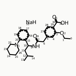 CCOc1cc(CC(=O)NC(CC(C)C)c2ccccc2N2CCCCC2)ccc1C(=O)O.[NaH]